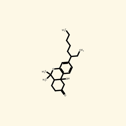 CCCCCC(CC)c1ccc2c(c1)OC(C)(C)C1CCC(=O)CC21O